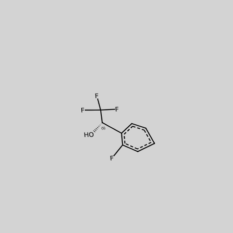 O[C@@H](c1ccccc1F)C(F)(F)F